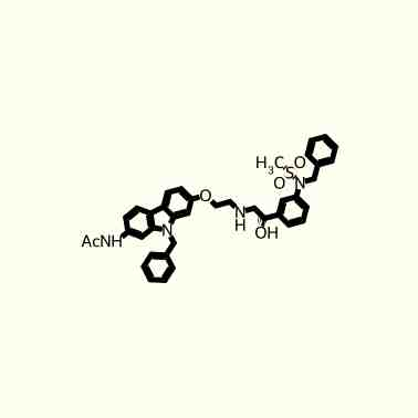 CC(=O)Nc1ccc2c3ccc(OCCNC[C@H](O)c4cccc(N(Cc5ccccc5)S(C)(=O)=O)c4)cc3n(Cc3ccccc3)c2c1